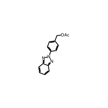 CC(=O)OCc1ccc(-n2nc3ccccc3n2)cc1